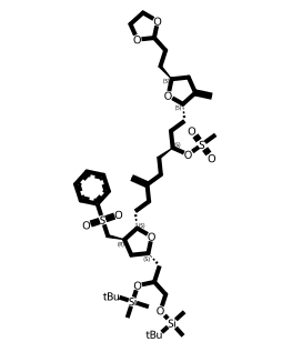 C=C(CC[C@@H](CC[C@@H]1O[C@@H](CCC2OCCO2)CC1=C)OS(C)(=O)=O)CC[C@@H]1O[C@H](CC(CO[Si](C)(C)C(C)(C)C)O[Si](C)(C)C(C)(C)C)C[C@H]1CS(=O)(=O)c1ccccc1